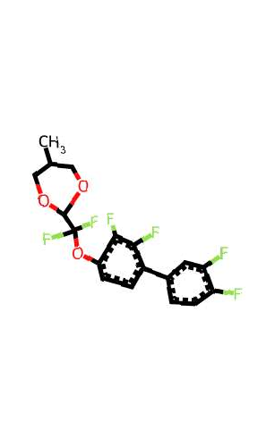 CC1COC(C(F)(F)Oc2ccc(-c3ccc(F)c(F)c3)c(F)c2F)OC1